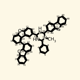 CN1C(c2ccccc2)NC(c2ccc3oc4cccc(-c5cccc6c5oc5ccccc56)c4c3c2)NC1c1ccc2c(c1)sc1ccccc12